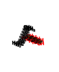 CCCCCCCCCCCCC.CCCCCCCCCCCCC.CCCCCCCCCCCCC.OP(O)(O)=S.OP(O)(O)=S.OP(O)(O)=S.OP(O)(O)=S